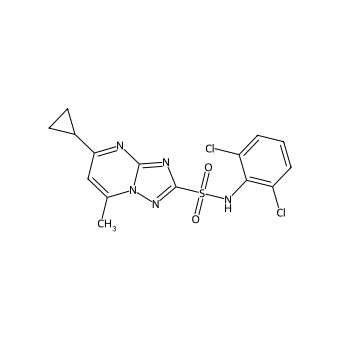 Cc1cc(C2CC2)nc2nc(S(=O)(=O)Nc3c(Cl)cccc3Cl)nn12